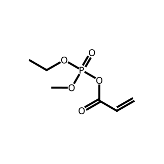 C=CC(=O)OP(=O)(OC)OCC